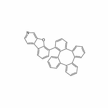 c1ccc2c(c1)-c1ccccc1-c1cccc(-c3cccc4c3oc3cnccc34)c1-c1ccccc1-2